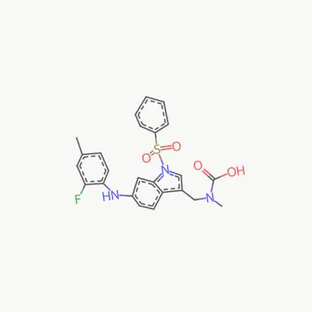 Cc1ccc(Nc2ccc3c(CN(C)C(=O)O)cn(S(=O)(=O)c4ccccc4)c3c2)c(F)c1